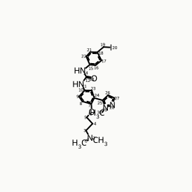 CN(C)CCCOc1ccc(NC(=O)Nc2ccc(CI)cc2)cc1-c1ccnn1C